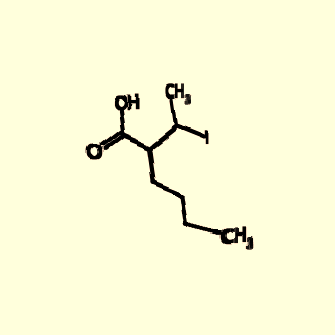 CCCCC(C(=O)O)C(C)I